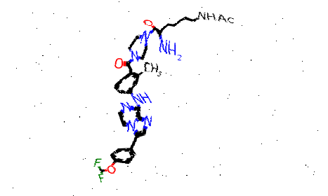 CC(=O)NCCCCC(N)C(=O)N1CCN(C(=O)c2ccc(Nc3nccn4c(-c5ccc(OC(F)F)cc5)cnc34)cc2C)CC1